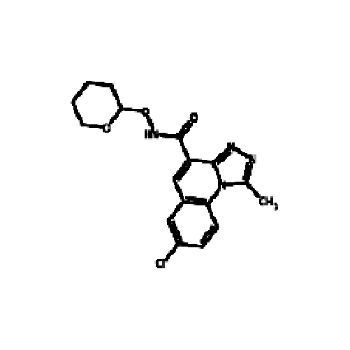 Cc1nnc2c(C(=O)NOC3CCCCO3)cc3cc(Cl)ccc3n12